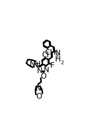 Cc1ccccc1/C=C(N)\C=C\c1c(Cl)cc2c(N3CC4CCC(C3)N4)nc(OCCCN3C4CCC3COC4)nc2c1F